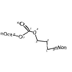 CCCCCCCCCCCCOC(=O)OCCCCCCCC